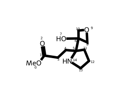 COC(=O)CCC1(C2(O)COC2)CCCN1